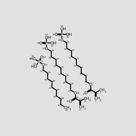 C=C(C)C(=O)OCCCCCCCCCCOP(=O)(O)O.C=C(C)C(=O)OCCCCCCCCCCOP(=O)(O)O.CCCCCCCCCCOP(=O)(O)O